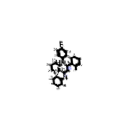 Cc1ccccc1/C(=C/C(=N/C1CCCCC1)N1CCCCO1)Nc1ccc(F)cc1